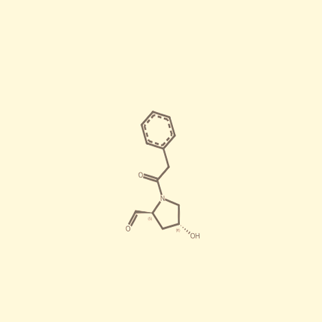 O=C[C@@H]1C[C@@H](O)CN1C(=O)Cc1ccccc1